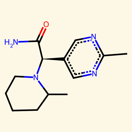 Cc1ncc([C@H](C(N)=O)N2CCCCC2C)cn1